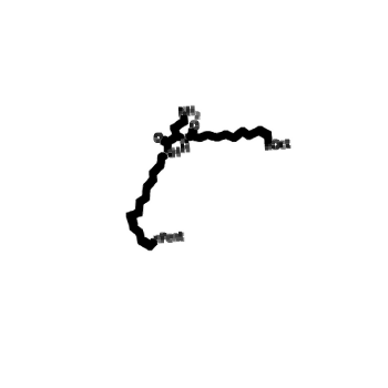 CCCCC/C=C\C/C=C\CCCCCCCCNC(=O)C(CCN)NC(=O)CCCCCCC/C=C\CCCCCCCC